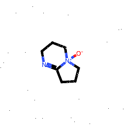 [O-][N+]12CCCN=C1CCC2